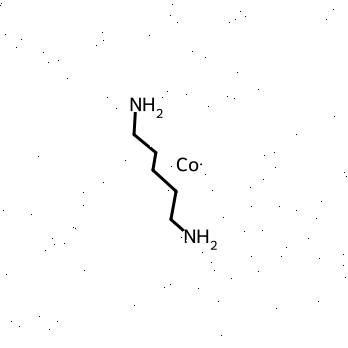 NCCCCCN.[Co]